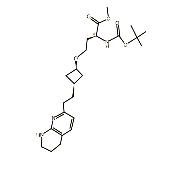 COC(=O)[C@H](CCO[C@H]1C[C@@H](CCc2ccc3c(n2)NCCC3)C1)NC(=O)OC(C)(C)C